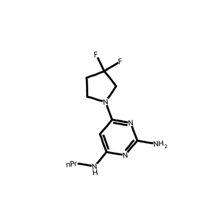 CCCNc1cc(N2CCC(F)(F)C2)nc(N)n1